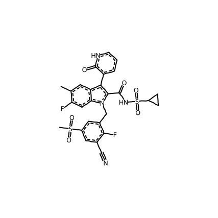 Cc1cc2c(-c3ccc[nH]c3=O)c(C(=O)NS(=O)(=O)C3CC3)n(Cc3cc(S(C)(=O)=O)cc(C#N)c3F)c2cc1F